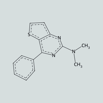 CN(C)c1nc(-c2ccccc2)c2sccc2n1